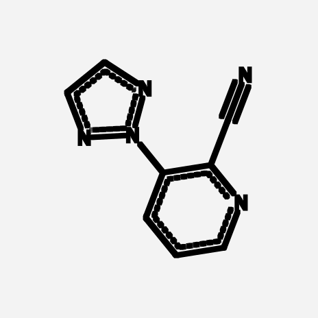 N#Cc1ncccc1-n1nccn1